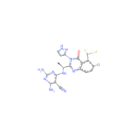 C[C@H](Nc1nc(N)nc(N)c1C#N)c1nc2ccc(Cl)c(C(F)F)c2c(=O)n1-c1cc[nH]n1